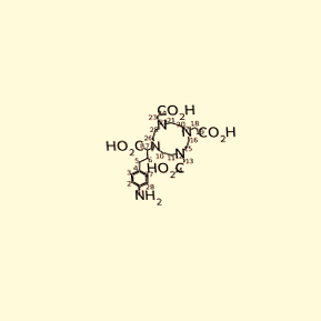 Nc1ccc(CCC(C(=O)O)N2CCN(CC(=O)O)CCN(CC(=O)O)CCN(CC(=O)O)CC2)cc1